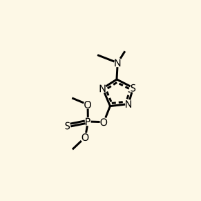 COP(=S)(OC)Oc1nsc(N(C)C)n1